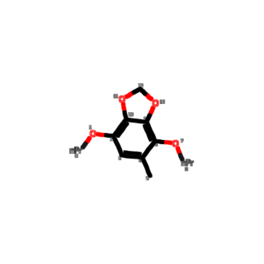 CCCOc1cc(C)c(OCCC)c2c1OCO2